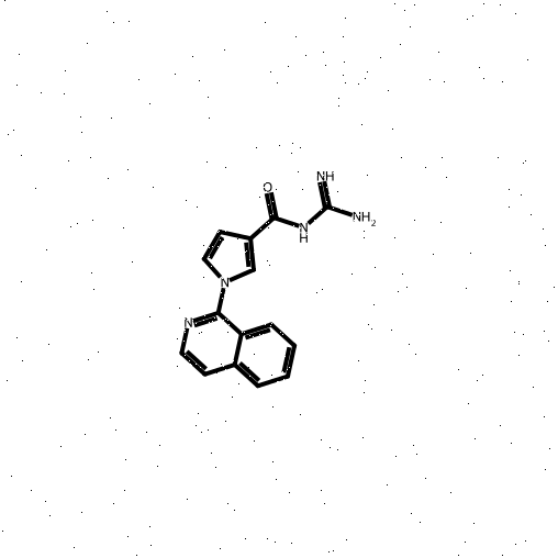 N=C(N)NC(=O)c1ccn(-c2nccc3ccccc23)c1